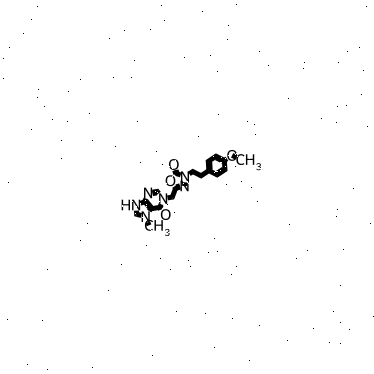 COc1ccc(CCn2nc(Cn3cnc4c(c3=O)N(C)CN4)oc2=O)cc1